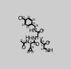 CC(=O)N[C@H](C(=O)N[C@@H](CCC(=O)C=N)C(=O)NCc1ccc(Cl)cc1)C1CC1